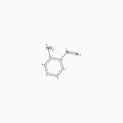 [N]=Nc1ccccc1[N+](=O)[O-]